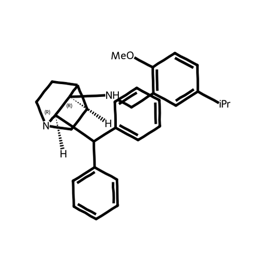 COc1ccc(C(C)C)cc1CN[C@@H]1C2CCN(CC2)[C@@H]1C(c1ccccc1)c1ccccc1